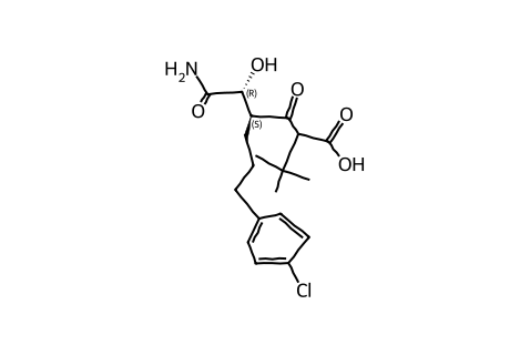 CC(C)(C)C(C(=O)O)C(=O)[C@@H](CCCc1ccc(Cl)cc1)[C@@H](O)C(N)=O